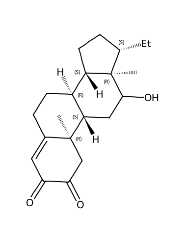 CC[C@H]1CC[C@H]2[C@@H]3CCC4=CC(=O)C(=O)C[C@]4(C)[C@H]3CC(O)[C@]12C